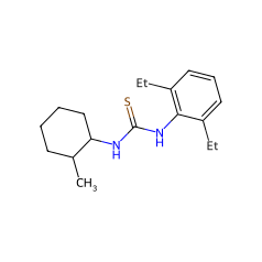 CCc1cccc(CC)c1NC(=S)NC1CCCCC1C